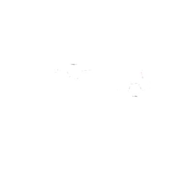 CCc1ccc(CCCCC=Cc2ccc3c(c2)C(=O)CC3)cc1